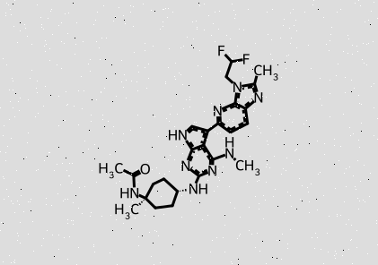 CNc1nc(N[C@H]2CC[C@](C)(NC(C)=O)CC2)nc2[nH]cc(-c3ccc4nc(C)n(CC(F)F)c4n3)c12